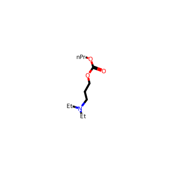 CCCOC(=O)OCCCN(CC)CC